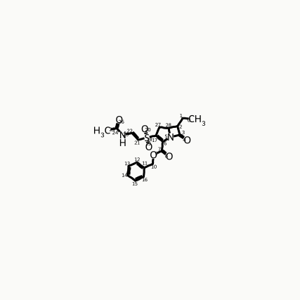 CCC1C(=O)N2C(C(=O)OCc3ccccc3)=C(S(=O)(=O)C=CNC(C)=O)CC12